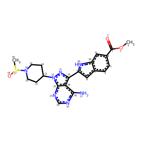 COC(=O)c1ccc2cc(-c3nn(C4CCN([S+](C)[O-])CC4)c4ncnc(N)c34)[nH]c2c1